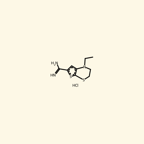 CCN1CCSc2sc(C(=N)N)cc21.Cl